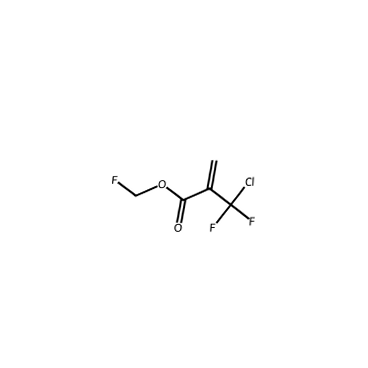 C=C(C(=O)OCF)C(F)(F)Cl